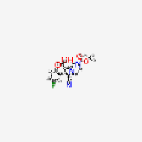 CC(C)(C)OC(=O)N1CCn2c(C#N)c(-c3cccc(F)c3)c(C(=O)O)c2C1